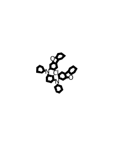 Clc1c(N(c2ccccc2)c2ccc3c(c2)oc2ccccc23)cccc1N(c1ccccc1)c1ccc2c(c1)oc1ccccc12